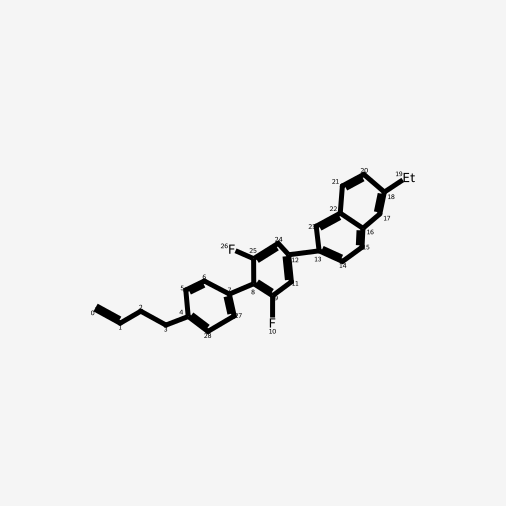 C=CCCc1ccc(-c2c(F)cc(-c3ccc4cc(CC)ccc4c3)cc2F)cc1